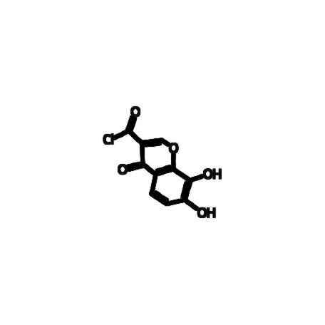 O=C(Cl)c1coc2c(O)c(O)ccc2c1=O